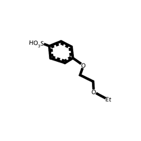 CCOCCOc1ccc(S(=O)(=O)O)cc1